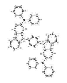 c1ccc(N(c2ccccc2)c2ccc3c4ccccc4n(-c4ccc(-n5c6ccccc6c6ccc(N(c7ccccc7)c7ccccc7)cc65)cc4)c3c2)cc1